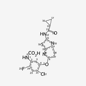 O=C(O)Nc1cc(Oc2ccc3nc(NC(=O)C4CC4)sc3n2)c(Cl)cc1F